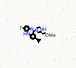 COCC[C@H]1CN(C2=Nc3ccc(F)cc3Nc3ccc(C4CC4)cc32)CCN1